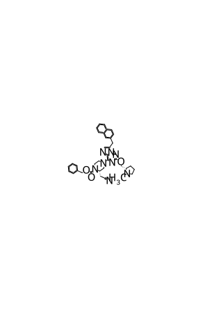 CN1CCC[C@H]1COc1nc(N2CCN(C(=O)OCc3ccccc3)[C@@H](CC#N)C2)c2ncc(Cc3ccc4ccccc4c3)n2n1